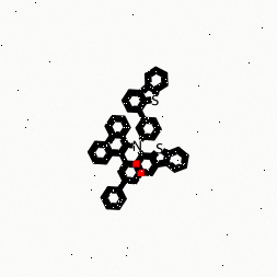 c1ccc(-c2cccc(-c3c(N(c4cccc(-c5cccc6c5sc5ccccc56)c4)c4cccc5c4sc4ccccc45)c4ccccc4c4ccccc34)c2)cc1